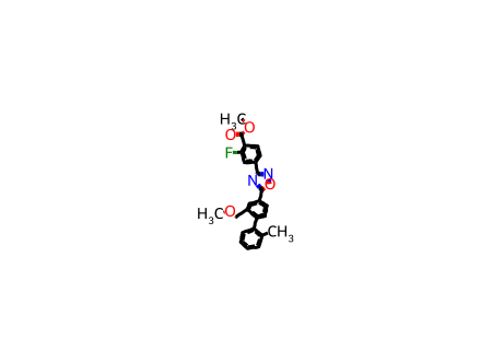 COCc1cc(-c2nc(-c3ccc(C(=O)OC)c(F)c3)no2)ccc1-c1ccccc1C